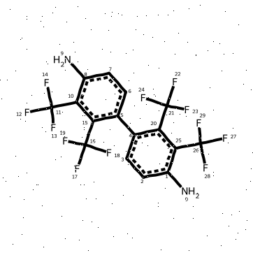 Nc1ccc(-c2ccc(N)c(C(F)(F)F)c2C(F)(F)F)c(C(F)(F)F)c1C(F)(F)F